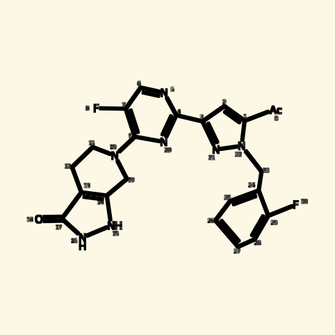 CC(=O)c1cc(-c2ncc(F)c(N3CCc4c([nH][nH]c4=O)C3)n2)nn1Cc1ccccc1F